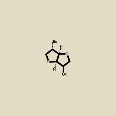 CC(C)(C)[C@H]1CO[C@H]2[C@@H]1OC[C@H]2O